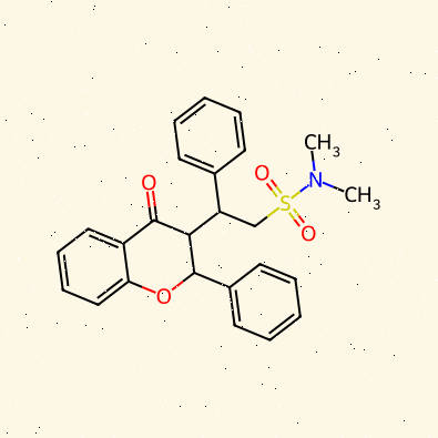 CN(C)S(=O)(=O)CC(c1ccccc1)C1C(=O)c2ccccc2OC1c1ccccc1